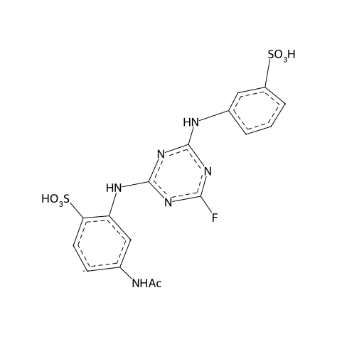 CC(=O)Nc1[c]cc(S(=O)(=O)O)c(Nc2nc(F)nc(Nc3cccc(S(=O)(=O)O)c3)n2)c1